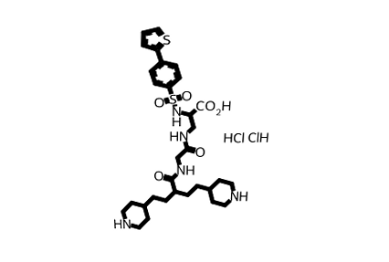 Cl.Cl.O=C(CNC(=O)C(CCC1CCNCC1)CCC1CCNCC1)NCC(NS(=O)(=O)c1ccc(-c2cccs2)cc1)C(=O)O